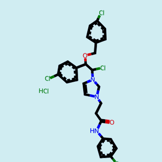 Cl.O=C(CCN1C=CN(C(Cl)C(OCc2ccc(Cl)cc2)c2ccc(Cl)cc2)C1)Nc1ccc(F)cc1